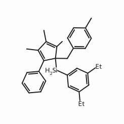 CCc1cc(CC)cc([SiH2]C2(Cc3ccc(C)cc3)C(C)=C(C)C(C)=C2c2ccccc2)c1